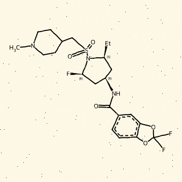 CC[C@H]1C[C@@H](NC(=O)c2ccc3c(c2)OC(F)(F)O3)C[C@@H](F)N1S(=O)(=O)CC1CCN(C)CC1